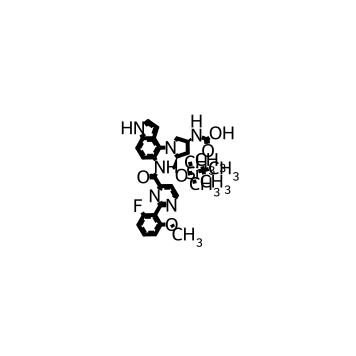 COc1cccc(F)c1-c1nccc(C(=O)Nc2ccc3[nH]ccc3c2N2C[C@@H](NC(=O)O)C[C@H]2CO[Si](C)(C)C(C)(C)C)n1